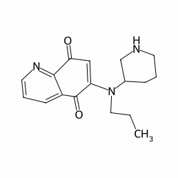 CCCN(C1=CC(=O)c2ncccc2C1=O)C1CCCNC1